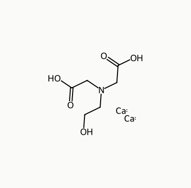 O=C(O)CN(CCO)CC(=O)O.[Ca].[Ca]